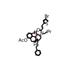 CC(=O)Oc1ccc2c3c1C[C@@H]1[C@@H]4CC[C@H](N(CC(C)C)C(=O)/C=C/c5cc(Br)cs5)[C@H](O2)[C@]34CCN1CCc1ccccc1